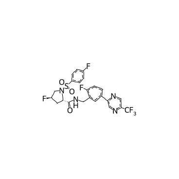 O=C(NCc1cc(-c2cnc(C(F)(F)F)cn2)ccc1F)[C@@H]1C[C@@H](F)CN1S(=O)(=O)c1ccc(F)cc1